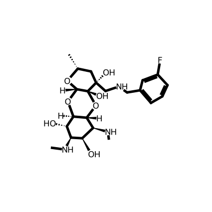 CN[C@@H]1[C@H](O)[C@H](NC)[C@H]2O[C@]3(O)[C@H](O[C@@H]2[C@H]1O)O[C@H](C)C[C@@]3(O)CNCc1cccc(F)c1